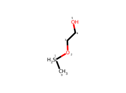 C[SiH2]OCCO